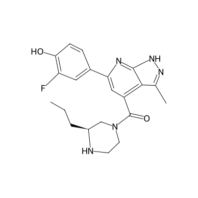 CCC[C@H]1CN(C(=O)c2cc(-c3ccc(O)c(F)c3)nc3[nH]nc(C)c23)CCN1